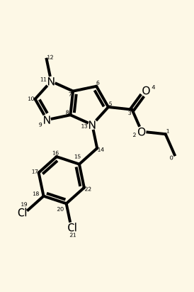 CCOC(=O)c1cc2c(ncn2C)n1Cc1ccc(Cl)c(Cl)c1